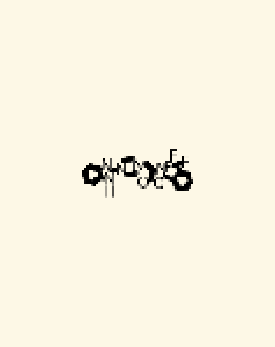 O=C1OC(c2ccccc2C(F)(F)F)=NC1=CN1CCN(c2nc3ccccc3[nH]2)CC1